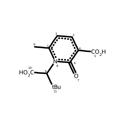 Cc1ccc(C(=O)O)c(=O)n1C(C(=O)O)C(C)(C)C